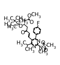 COC(=O)C[C@@H](CC(=O)/C=C/c1c(-c2ccc(F)cc2)nc(N(C)S(C)(=O)=O)nc1C(C)C)O[Si](C)(C)C(C)(C)C